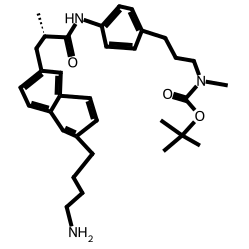 C[C@@H](Cc1ccc2cc(CCCCN)ccc2c1)C(=O)Nc1ccc(CCCN(C)C(=O)OC(C)(C)C)cc1